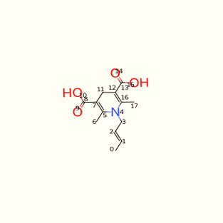 CC=CCN1C(C)=C(C(=O)O)CC(C(=O)O)=C1C